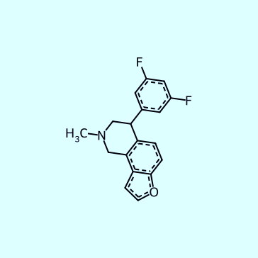 CN1Cc2c(ccc3occc23)C(c2cc(F)cc(F)c2)C1